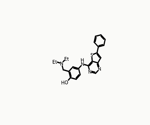 CCN(CC)Cc1cc(Nc2ncnc3cc(-c4ccccc4)sc23)ccc1O